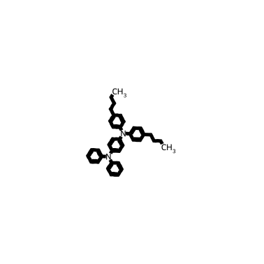 CCCCc1ccc(N(c2ccc(CCCC)cc2)c2ccc(N(c3ccccc3)c3ccccc3)cc2)cc1